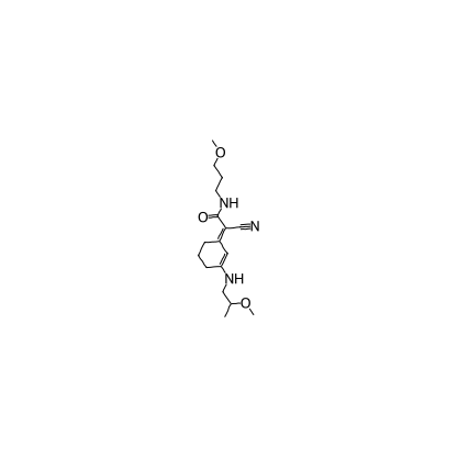 COCCCNC(=O)C(C#N)=C1C=C(NCC(C)OC)CCC1